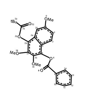 COc1ccc2c(OC(=O)c3ccccc3)c(OC)c(OC)c(OC(=O)C(C)(C)C)c2c1